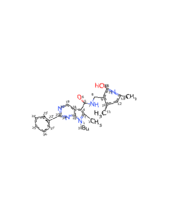 CCC(C)n1c(C)c(C(=O)NCc2c(C)cc(C)nc2O)c2cnc(-c3ccccc3)nc21